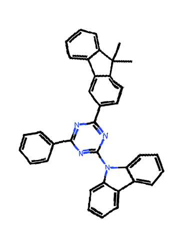 CC1(C)c2ccccc2-c2cc(-c3nc(-c4ccccc4)nc(-n4c5ccccc5c5ccccc54)n3)ccc21